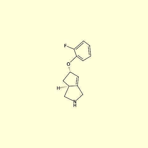 Fc1ccccc1O[C@@H]1C=C2CNC[C@H]2C1